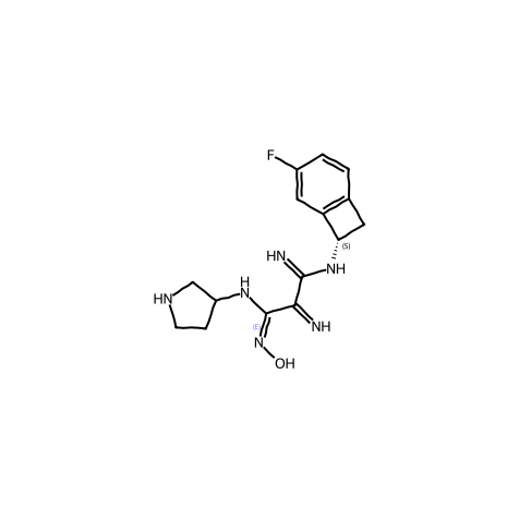 N=C(N[C@H]1Cc2ccc(F)cc21)C(=N)/C(=N\O)NC1CCNC1